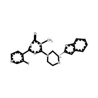 Cn1c(N2CCO[C@@H](c3cc4ccccc4o3)C2)nc(-c2ccncc2F)cc1=O